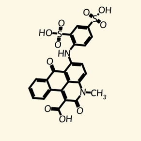 Cn1c(=O)c(C(=O)O)c2c3c(c(Nc4ccc(S(=O)(=O)O)cc4S(=O)(=O)O)ccc31)C(=O)c1ccccc1-2